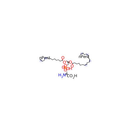 CCCCC/C=C\C/C=C\C/C=C\C/C=C\CCCCCC(=O)O[C@H](COC(=O)CCCCCCC/C=C\C/C=C\CCCCC)COP(=O)(O)OC[C@H](N)C(=O)O